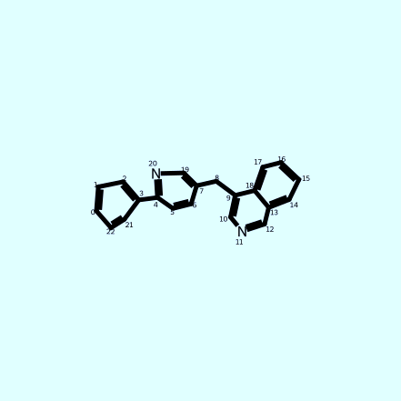 c1ccc(-c2ccc(Cc3cncc4ccccc34)cn2)cc1